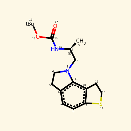 C[C@@H](CN1CCc2ccc3c(c21)CCS3)NC(=O)OC(C)(C)C